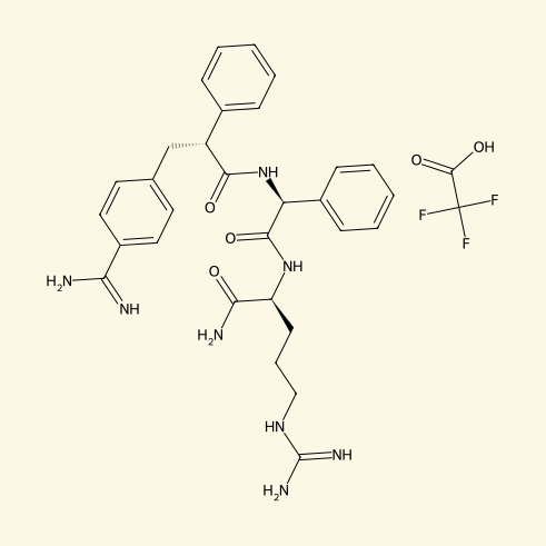 N=C(N)NCCC[C@H](NC(=O)[C@@H](NC(=O)[C@H](Cc1ccc(C(=N)N)cc1)c1ccccc1)c1ccccc1)C(N)=O.O=C(O)C(F)(F)F